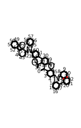 C=C1c2ccc(N(c3ccccc3)c3ccccc3-c3ccccc3)cc2Oc2ccc3c(c21)C(=C)Oc1cc(N(C2=CCCc4c2oc2ccccc42)c2ccccc2)ccc1-3